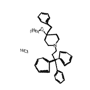 CCCCCCOC1(Cc2ccccc2)CCN(CCC(c2ccccc2)(c2ccccc2)c2ccccc2)CC1.Cl